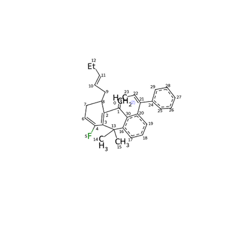 C=C1C2=C(C(F)=CCC2CC=CCC)C(C)(C)c2cccc(/C(=C\C)c3ccccc3)c21